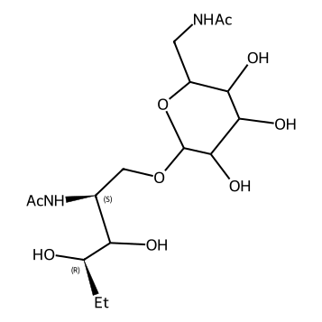 CC[C@@H](O)C(O)[C@H](COC1OC(CNC(C)=O)C(O)C(O)C1O)NC(C)=O